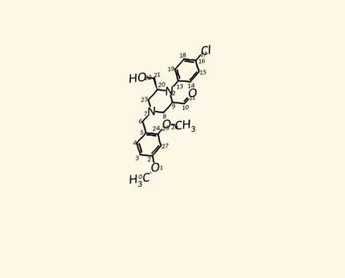 COc1ccc(CN2CC(C=O)N(c3ccc(Cl)cc3)[C@H](CO)C2)c(OC)c1